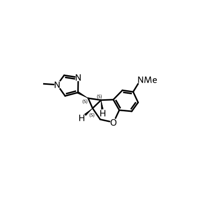 CNc1ccc2c(c1)[C@@H]1[C@H](CO2)[C@H]1c1cn(C)cn1